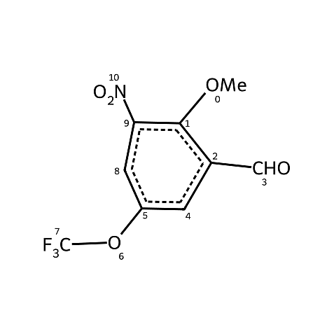 COc1c(C=O)cc(OC(F)(F)F)cc1[N+](=O)[O-]